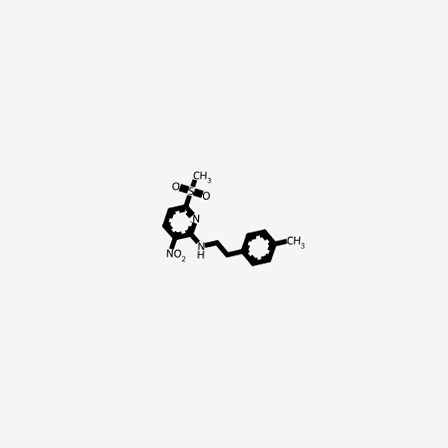 Cc1ccc(CCNc2nc(S(C)(=O)=O)ccc2[N+](=O)[O-])cc1